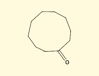 O=C1[CH]CCCCCCCC1